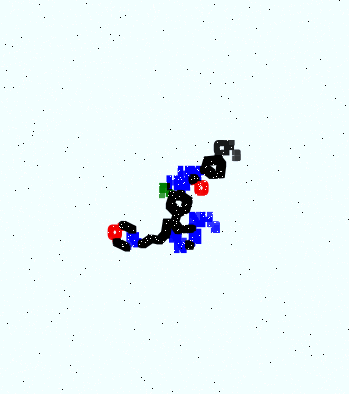 Nc1ncnn2c(CCCN3CCOCC3)cc(-c3ccc(NC(=O)Nc4cccc(C(F)(F)F)c4)c(F)c3)c12